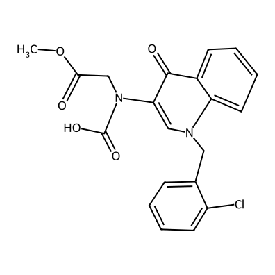 COC(=O)CN(C(=O)O)c1cn(Cc2ccccc2Cl)c2ccccc2c1=O